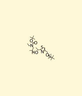 CCN(C(=O)OC(C)(C)C)[C@H](C[C@@H](O)c1nc(CO[Si](C)(C)C(C)(C)C)cs1)C(C)C